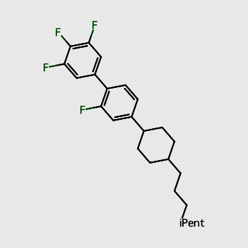 CCCC(C)CCCC1CCC(c2ccc(-c3cc(F)c(F)c(F)c3)c(F)c2)CC1